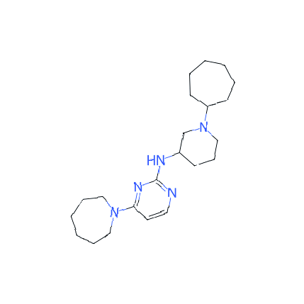 c1cc(N2CCCCCC2)nc(NC2CCCN(C3CCCCCC3)C2)n1